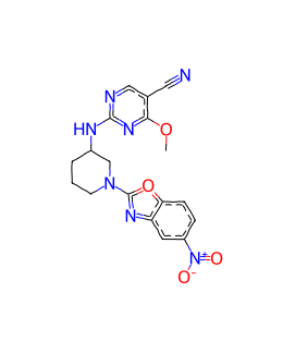 COc1nc(NC2CCCN(c3nc4cc([N+](=O)[O-])ccc4o3)C2)ncc1C#N